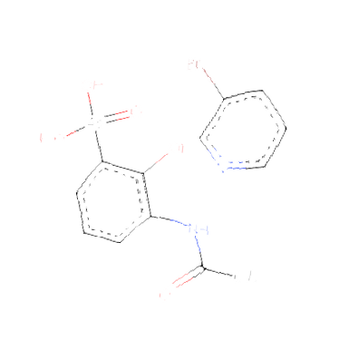 Brc1cccnc1.CC(=O)Nc1cccc([As](=O)(O)O)c1O